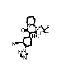 N#Cc1cc(-c2c(O)[n+](CC(F)(F)F)c3ccccn3c2=O)ccc1-n1cncn1